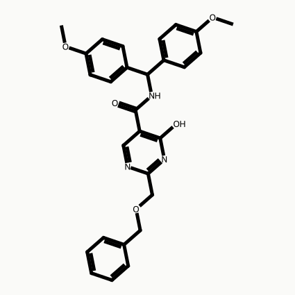 COc1ccc(C(NC(=O)c2cnc(COCc3ccccc3)nc2O)c2ccc(OC)cc2)cc1